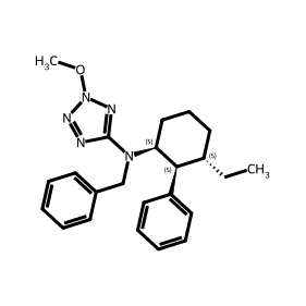 CC[C@H]1CCC[C@H](N(Cc2ccccc2)c2nnn(OC)n2)[C@@H]1c1ccccc1